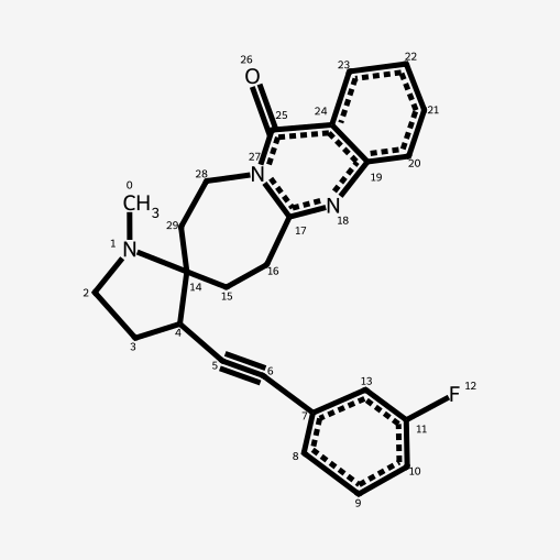 CN1CCC(C#Cc2cccc(F)c2)C12CCc1nc3ccccc3c(=O)n1CC2